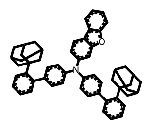 c1ccc(C23CC4CC(CC(C4)C2)C3)c(-c2ccc(N(c3ccc(-c4ccccc4C45CC6CC(CC(C6)C4)C5)cc3)c3ccc4c(c3)oc3ccccc34)cc2)c1